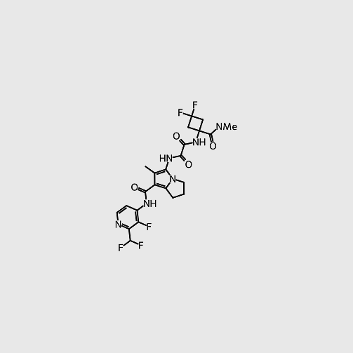 CNC(=O)C1(NC(=O)C(=O)Nc2c(C)c(C(=O)Nc3ccnc(C(F)F)c3F)c3n2CCC3)CC(F)(F)C1